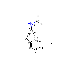 CC(C)NC1C2Cc3ccccc3C21